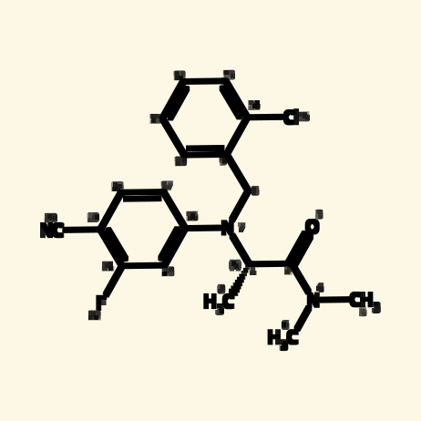 C[C@@H](C(=O)N(C)C)N(Cc1ccccc1Cl)c1ccc(C#N)c(F)c1